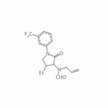 C=CCN(C=O)C1C(=O)N(c2cccc(C(F)(F)F)c2)CC1CC